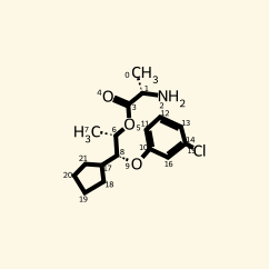 C[C@H](N)C(=O)O[C@@H](C)[C@H](Oc1cccc(Cl)c1)C1CCCC1